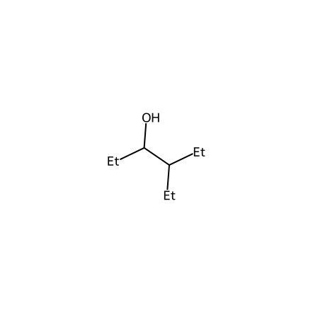 [CH2]CC(O)C(CC)CC